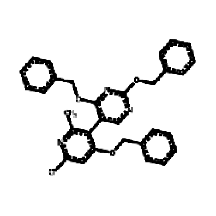 Cc1nc(Cl)cc(OCc2ccccc2)c1-c1cnc(OCc2ccccc2)nc1OCc1ccccc1